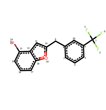 FC(F)(F)c1cccc(Cc2cc3c(Br)cccc3o2)c1